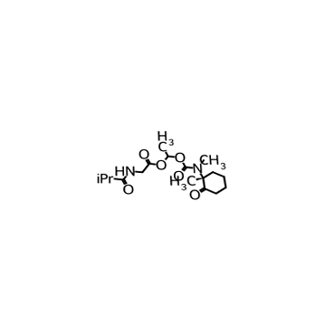 CC(OC(=O)CNC(=O)C(C)C)OC(=O)N(C)[C@]1(C)CCCCC1=O